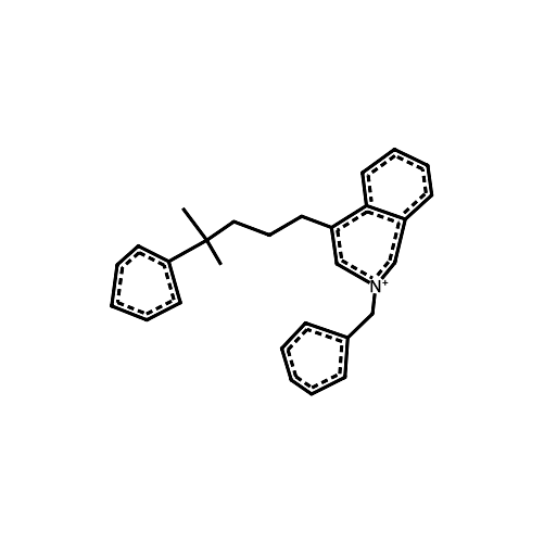 CC(C)(CCCc1c[n+](Cc2ccccc2)cc2ccccc12)c1ccccc1